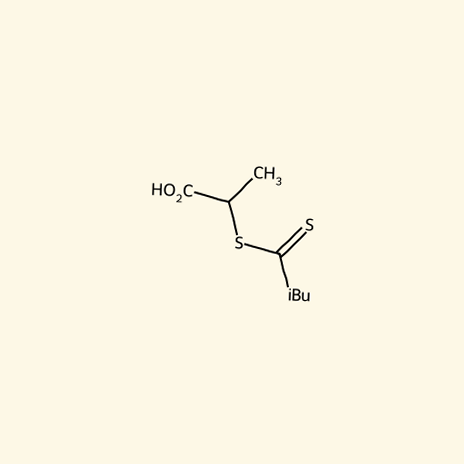 CCC(C)C(=S)SC(C)C(=O)O